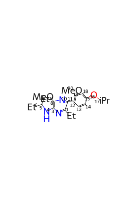 CCc1nc(NC(CC)CC)c(OC)nc1-c1ccc(OC(C)C)cc1OC